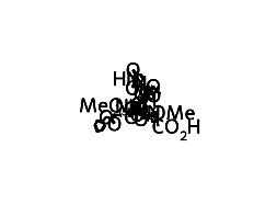 CON[C@@H](CCC(=O)O)C(=O)OP(=O)(OC[C@H]1O[C@@H](n2ccc(=O)[nH]c2=O)[C@]2(C)OC(C)(C)O[C@H]12)OC(=O)[C@H](CCC(=O)Oc1ccccc1)NOC